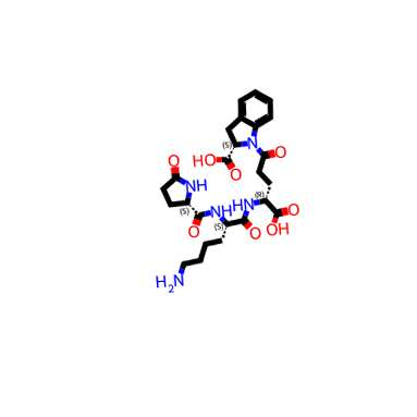 NCCCC[C@H](NC(=O)[C@@H]1CCC(=O)N1)C(=O)N[C@H](CCC(=O)N1c2ccccc2C[C@H]1C(=O)O)C(=O)O